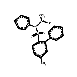 Nc1ccc(S(=O)(=O)N(c2ccccc2)[S+]([O-])C(Cl)(Cl)Cl)c(-c2ccccc2)c1